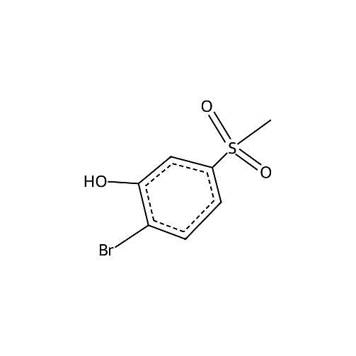 CS(=O)(=O)c1ccc(Br)c(O)c1